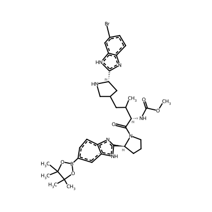 COC(=O)N[C@H](C(=O)N1CCC[C@H]1c1nc2ccc(B3OC(C)(C)C(C)(C)O3)cc2[nH]1)C(C)CC1CN[C@H](c2nc3ccc(Br)cc3[nH]2)C1